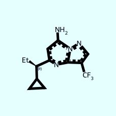 CC[C@@H](c1cc(N)n2ncc(C(F)(F)F)c2n1)C1CC1